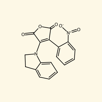 O=C1OC(=O)C(N2CCc3ccccc32)=C1c1ccccc1[N+](=O)[O-]